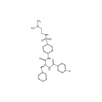 CN(C)CCNS(=O)(=O)c1ccc(NC(=O)[C@H](Cc2ccccc2)NC(=O)c2ccc(F)cc2)cc1